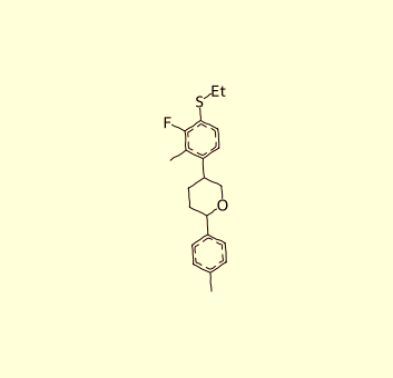 CCSc1ccc(C2CCC(c3ccc(C)cc3)OC2)c(C)c1F